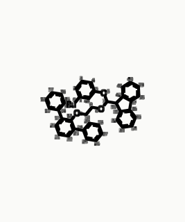 CCC(C)c1cccc(OC(OCCOc2c(-c3ccccc3)cccc2-c2ccccc2)C2c3ccccc3-c3ccccc32)c1